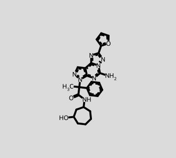 CC(C(=O)NC1CCCCC(O)C1)(c1ccccc1)n1ncc2c1nc(N)n1nc(-c3ccco3)nc21